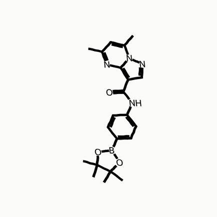 Cc1cc(C)n2ncc(C(=O)Nc3ccc(B4OC(C)(C)C(C)(C)O4)cc3)c2n1